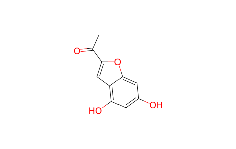 CC(=O)c1cc2c(O)cc(O)cc2o1